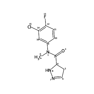 CN(C(=O)C1CC=NN1)c1ccc(F)c(Cl)c1